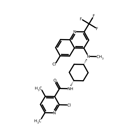 Cc1cc(C)c(C(=O)N[C@H]2CC[C@@H](N(C)c3cc(C(F)(F)F)nc4ccc(Cl)cc34)CC2)c(Cl)n1